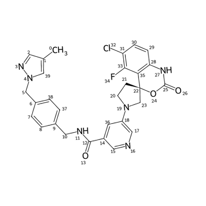 Cc1cnn(Cc2ccc(CNC(=O)c3cncc(N4CC[C@]5(C4)OC(=O)Nc4ccc(Cl)c(F)c45)c3)cc2)c1